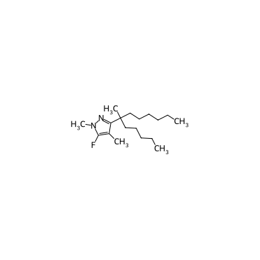 CCCCCCC(C)(CCCCC)c1nn(C)c(F)c1C